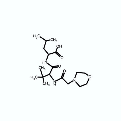 CC(C)CC(NC(=O)C(NC(=O)CN1CCOCC1)C(C)(C)C)C(=O)O